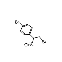 O=CC(CBr)c1ccc(Br)cc1